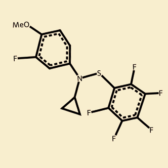 COc1ccc(N(Sc2c(F)c(F)c(F)c(F)c2F)C2CC2)cc1F